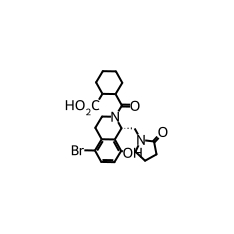 O=C(O)C1CCCCC1C(=O)N1CCc2c(Br)ccc(O)c2[C@H]1CN1CCCC1=O